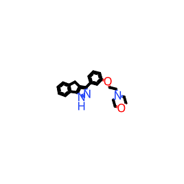 c1cc(OCCN2CCOCC2)cc(-c2n[nH]c3c2Cc2ccccc2-3)c1